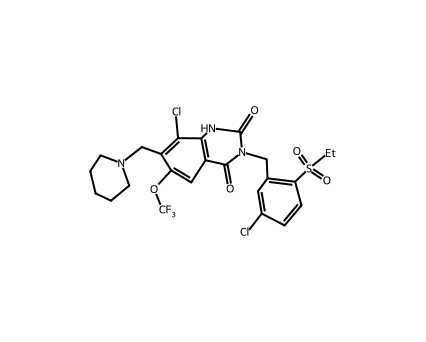 CCS(=O)(=O)c1ccc(Cl)cc1Cn1c(=O)[nH]c2c(Cl)c(CN3CCCCC3)c(OC(F)(F)F)cc2c1=O